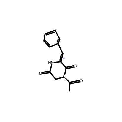 CC(=O)N1CC(=O)N/C(=C\c2ccccc2)C1=O